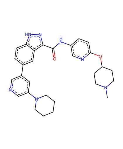 CN1CCC(Oc2ccc(NC(=O)c3n[nH]c4ccc(-c5cncc(N6CCCCC6)c5)cc34)cn2)CC1